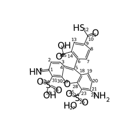 N=c1ccc2c(-c3ccc(C(=O)S)cc3C(=O)O)c3ccc(N)c(S(=O)(=O)O)c3oc-2c1S(=O)(=O)O